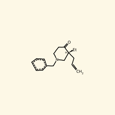 C=CC[C@]1(CC)CN(Cc2ccccc2)CCC1=O